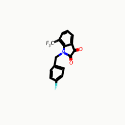 O=C1C(=O)N(Cc2ccc(F)cc2)c2c1cccc2C(F)(F)F